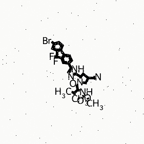 COC(=O)NC(C(=O)N1CC(C#N)CC1c1ncc(-c2ccc3c(c2)C(F)(F)c2cc(Br)ccc2-3)[nH]1)C(C)C